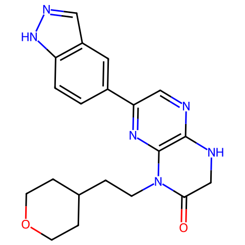 O=C1CNc2ncc(-c3ccc4[nH]ncc4c3)nc2N1CCC1CCOCC1